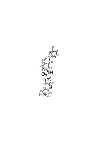 CC1=C=CSC(c2ccc3cnc(NC(=O)c4ccc(OC5CCNCC5)cc4)cc3c2)=N1